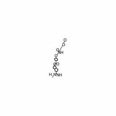 COCCOCCCCC(=O)NCCOc1ccc(C(=O)Oc2ccc3cc(C(=N)N)ccc3c2)cc1